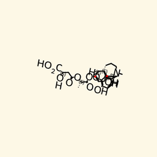 C[C@H](OC(=O)C[C@H](O)C(=O)O)C(=O)OC1=CC[C@@]2(O)[C@H]3Cc4ccc(O)c5c4[C@@]2(CCCN3C)[C@H]1O5